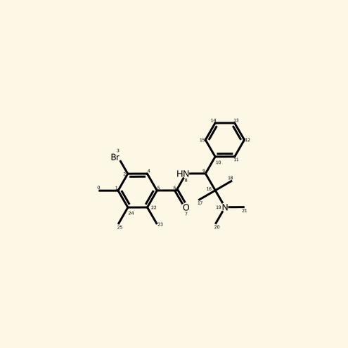 Cc1c(Br)cc(C(=O)NC(c2ccccc2)C(C)(C)N(C)C)c(C)c1C